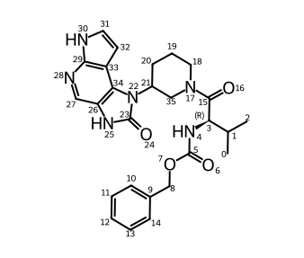 CC(C)[C@@H](NC(=O)OCc1ccccc1)C(=O)N1CCCC(n2c(=O)[nH]c3cnc4[nH]ccc4c32)C1